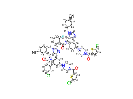 N#Cc1ccc(Cn2cncc2CN(C(=O)c2ccc(Cl)cc2)c2ccc(N3CCN(C(=O)c4ccc(Cl)s4)CC3)cc2)cc1.N#Cc1ccc(Cn2cncc2CN(C(=O)c2ccccc2F)c2ccc(N3CCN(C(=O)c4ccc(Cl)s4)CC3)cc2)cc1